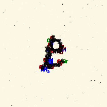 C=C(CBr)C(=O)OC(C)(C)CCCCC(=O)N[C@H](C(=O)N[C@@H](CCCNC(N)=O)C(=O)Nc1ccc2cc(C(=O)N(C)[C@@H](C)C(=O)O[C@H]3CC(=O)N(C)c4cc(cc(OC)c4Cl)C/C(C)=C/C=C/[C@@H](OC)[C@@]4(O)C[C@@H](C[C@@H]5O[C@@]35C)OC(=O)N4)ccc2n1)C(C)C